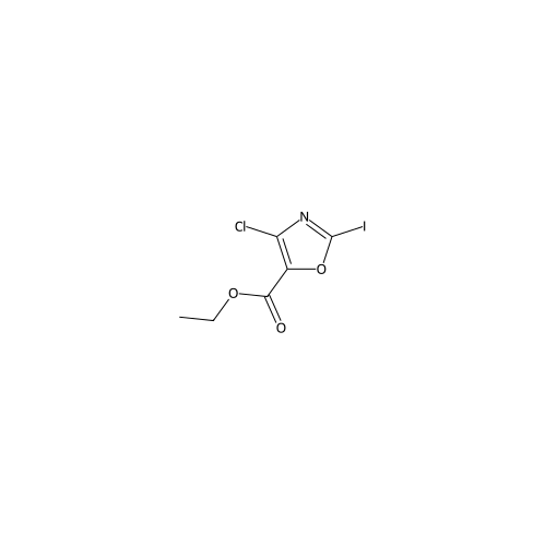 CCOC(=O)c1oc(I)nc1Cl